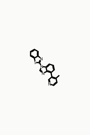 Cc1ccncc1-c1cccc2c1ncn2-c1nc2ccccc2s1